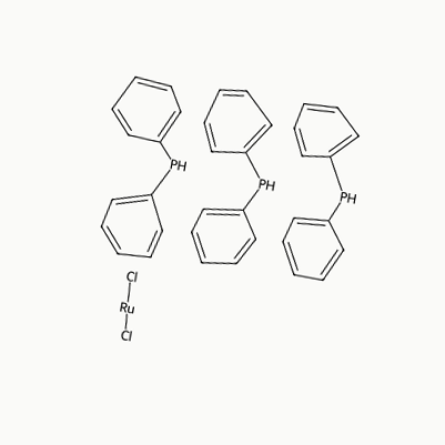 [Cl][Ru][Cl].c1ccc(Pc2ccccc2)cc1.c1ccc(Pc2ccccc2)cc1.c1ccc(Pc2ccccc2)cc1